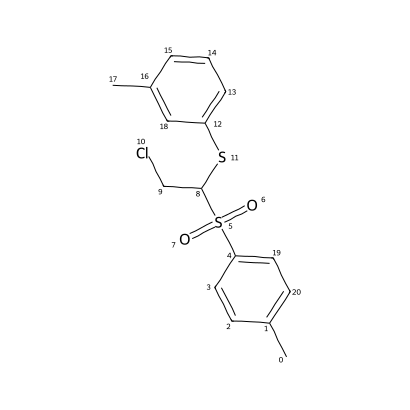 Cc1ccc(S(=O)(=O)C(CCl)Sc2cccc(C)c2)cc1